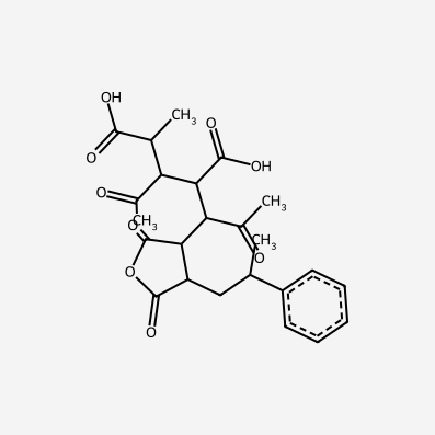 CC(=O)C(C(C)C(=O)O)C(C(=O)O)C(C(C)=O)C1C(=O)OC(=O)C1CC(C)c1ccccc1